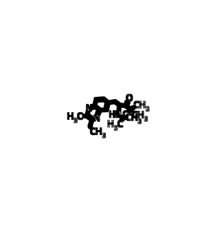 CCc1nc2cc(CC(NC(C)C)C(=O)C(C)(C)C)ccc2nc1C